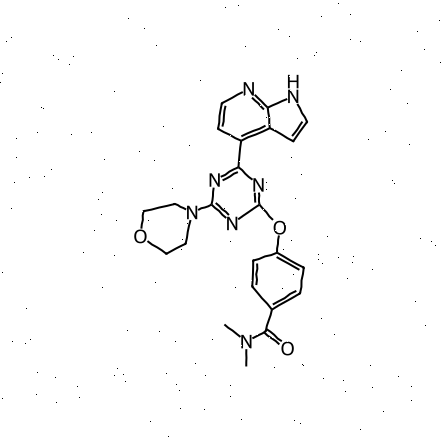 CN(C)C(=O)c1ccc(Oc2nc(-c3ccnc4[nH]ccc34)nc(N3CCOCC3)n2)cc1